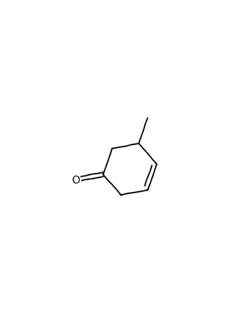 CC1C=CCC(=O)C1